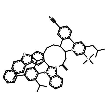 C=C1CC2C(CCc3cc4oc5ccc(C)cc5c4cc3-c3n(-c4c(C(C)C)cc(-c5ccccc5)cc4C(C)C)c4ccccc4[n+]31)c1cc(C#N)ccc1-c1cc(CC(C)C)c([Si](C)(C)C)c[n+]12